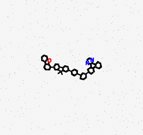 CC1(C)c2cc(-c3ccc(-c4cccc(-c5ccc6c7ccccc7c7nccnc7c6c5)c4)cc3)ccc2-c2ccc(-c3cccc4c3oc3ccccc34)cc21